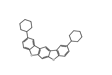 c1cc2oc3cc4oc5ccc(C6CCCCC6)cc5c4cc3c2cc1C1CCCCC1